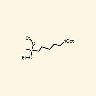 CCCCCCCCCCCCC[Si](C)(OCC)OCC